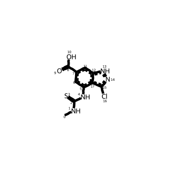 CNC(=S)Nc1cc(C(=O)O)cc2[nH]nc(Cl)c12